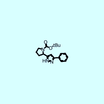 CC(C)(C)OC(=O)N1CCCC1c1cc(-c2ccccc2)n[nH]1